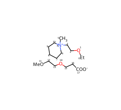 CCOCC[N+]1(C)CCCCC1.COCCOCCC(=O)[O-]